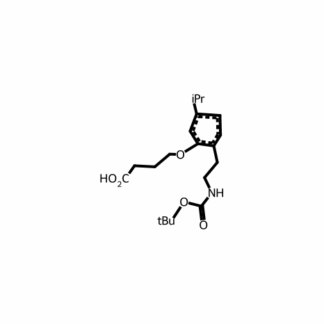 CC(C)c1ccc(CCNC(=O)OC(C)(C)C)c(OCCCC(=O)O)c1